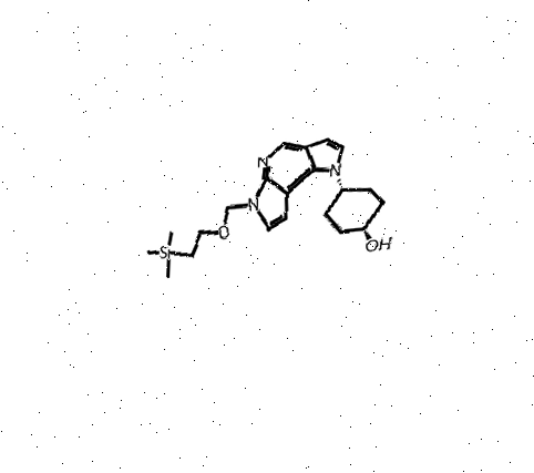 C[Si](C)(C)CCOCn1ccc2c1ncc1ccn([C@H]3CC[C@H](O)CC3)c12